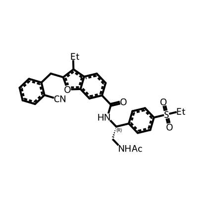 CCc1c(Cc2ccccc2C#N)oc2cc(C(=O)N[C@@H](CNC(C)=O)c3ccc(S(=O)(=O)CC)cc3)ccc12